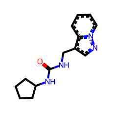 O=C(NCc1cnn2ccccc12)NC1CCCC1